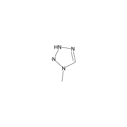 CN1C=NN[N]1